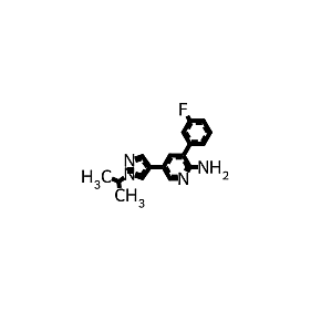 CC(C)n1cc(-c2cnc(N)c(-c3cccc(F)c3)c2)cn1